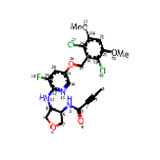 CC#CC(=O)NC1COCC1Nc1ncc(OCc2c(Cl)c(OC)cc(OC)c2Cl)cc1F